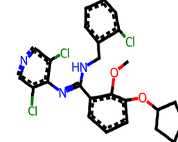 COc1c(OC2CCCC2)cccc1C(=Nc1c(Cl)cncc1Cl)NCc1ccccc1Cl